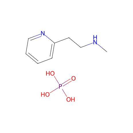 CNCCc1ccccn1.O=P(O)(O)O